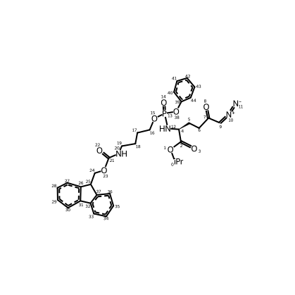 CC(C)OC(=O)[C@H](CCC(=O)C=[N+]=[N-])NP(=O)(OCCCCNC(=O)OCC1c2ccccc2-c2ccccc21)Oc1ccccc1